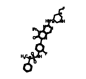 CC(C)n1c(=O)c(-c2ccc(NS(=O)(=O)[C@H](C)c3ccccc3)c(F)c2)nc2cnc(N[C@@H]3CNC[C@H](CF)C3)nc21